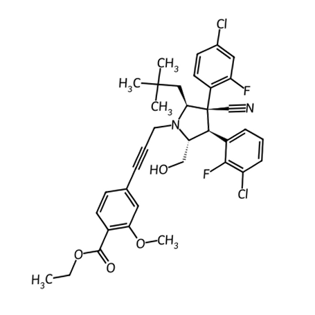 CCOC(=O)c1ccc(C#CCN2[C@@H](CC(C)(C)C)[C@](C#N)(c3ccc(Cl)cc3F)[C@@H](c3cccc(Cl)c3F)[C@@H]2CO)cc1OC